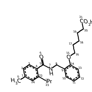 Cc1ccc(C(=O)NCc2ccccc2OCCCCCC(=O)O)c(C(C)C)c1